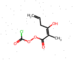 C=CCC(O)=C(C)C(=O)OOC(=O)Cl